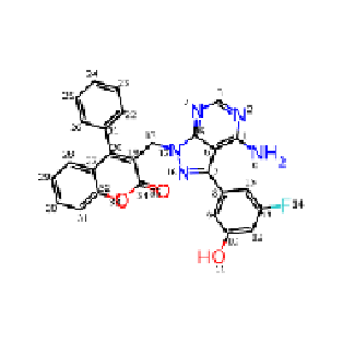 Nc1ncnc2c1c(-c1cc(O)cc(F)c1)nn2Cc1c(-c2ccccc2)c2ccccc2oc1=O